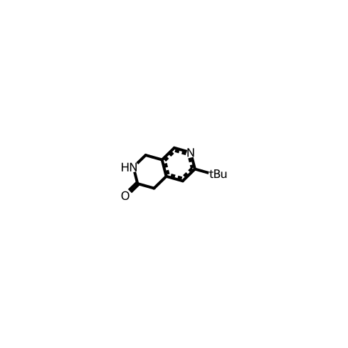 CC(C)(C)c1cc2c(cn1)CNC(=O)C2